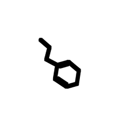 CCCC1=CCCC=C1